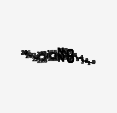 CCCCCCCC(=O)Oc1cnc(-c2ccc([C@H]3CC[C@H](CCCCC)CC3)cc2)nc1